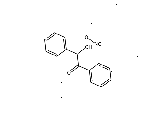 O=C(c1ccccc1)C(O)c1ccccc1.O=[NH+][O-]